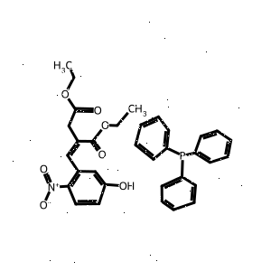 CCOC(=O)CC(=Cc1cc(O)ccc1[N+](=O)[O-])C(=O)OCC.c1ccc(P(c2ccccc2)c2ccccc2)cc1